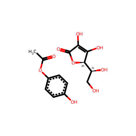 CC(=O)Oc1ccc(O)cc1.O=C1O[C@H]([C@@H](O)CO)C(O)=C1O